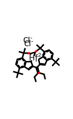 CCCCC1=Cc2c(C(C)(C)C)ccc(C(C)(C)C)c2[CH]1[Hf+2]1([CH]2C(CCCC)=Cc3c(C(C)(C)C)ccc(C(C)(C)C)c32)[CH2][CH2]1.[Cl-].[Cl-]